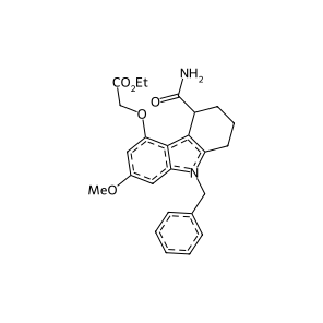 CCOC(=O)COc1cc(OC)cc2c1c1c(n2Cc2ccccc2)CCCC1C(N)=O